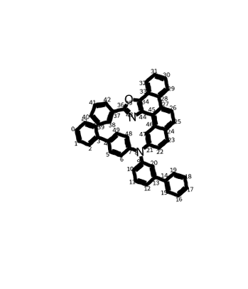 c1ccc(-c2ccc(N(c3cccc(-c4ccccc4)c3)c3ccc4ccc5c6ccccc6c6oc(-c7ccccc7)nc6c5c4c3)cc2)cc1